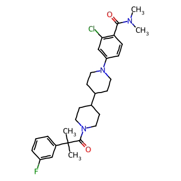 CN(C)C(=O)c1ccc(N2CCC(C3CCN(C(=O)C(C)(C)c4cccc(F)c4)CC3)CC2)cc1Cl